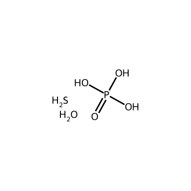 O.O=P(O)(O)O.S